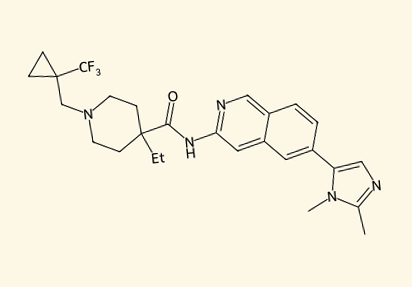 CCC1(C(=O)Nc2cc3cc(-c4cnc(C)n4C)ccc3cn2)CCN(CC2(C(F)(F)F)CC2)CC1